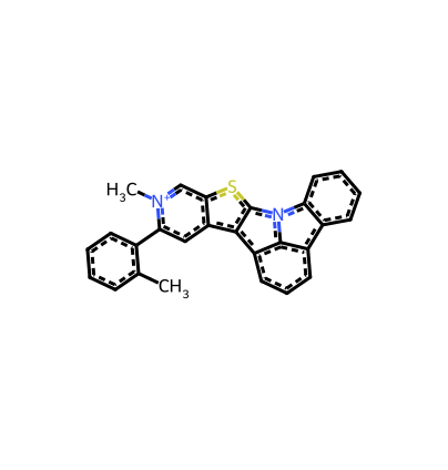 Cc1ccccc1-c1cc2c(c[n+]1C)sc1c2c2cccc3c4ccccc4n1c32